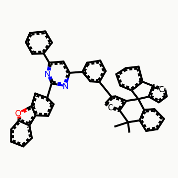 CC1(C)c2ccccc2C2(c3ccccc3-c3ccccc32)c2cc(-c3cccc(-c4cc(-c5ccccc5)nc(-c5ccc6c(c5)oc5ccccc56)n4)c3)ccc21